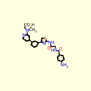 CN(CC(=O)O)c1cc(-c2cccc(-c3csc(NC(=O)CNC(=O)c4ccc(N)cc4)n3)c2)ccn1